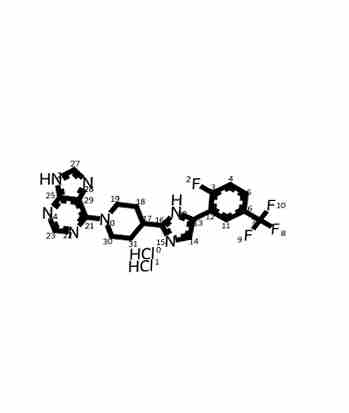 Cl.Cl.Fc1ccc(C(F)(F)F)cc1-c1cnc(C2CCN(c3ncnc4[nH]cnc34)CC2)[nH]1